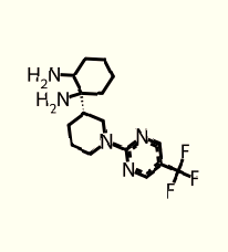 NC1CCCCC1(N)[C@H]1CCCN(c2ncc(C(F)(F)F)cn2)C1